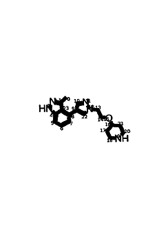 Cc1n[nH]c2cccc(-c3cnn(CCOC4CCNCC4)c3)c12